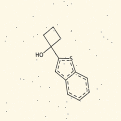 OC1(c2cc3ccccc3s2)CCC1